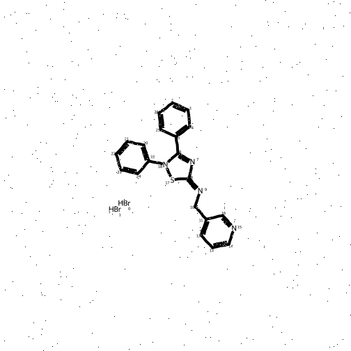 Br.Br.c1ccc(-c2nc(=NCc3cccnc3)sn2-c2ccccc2)cc1